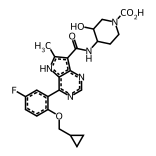 Cc1[nH]c2c(-c3cc(F)ccc3OCC3CC3)ncnc2c1C(=O)NC1CCN(C(=O)O)CC1O